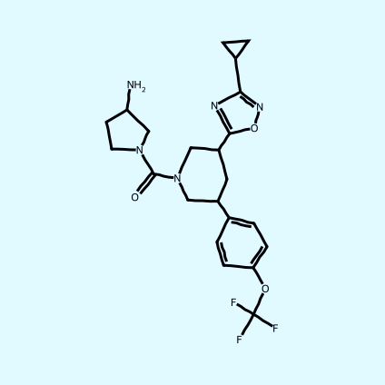 NC1CCN(C(=O)N2CC(c3ccc(OC(F)(F)F)cc3)CC(c3nc(C4CC4)no3)C2)C1